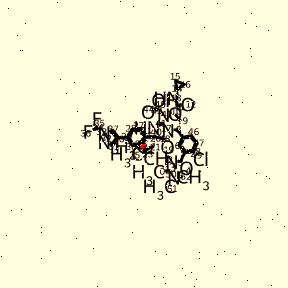 C/C(=N/C(=O)c1cc([C@@H](COC(=O)NC2CC2)N2C(=O)[C@@](CC(C)(C)C)(c3ccc(-c4cnn(C(F)F)c4)cc3)N/C2=N\C(=O)O)ccc1Cl)N(C)C